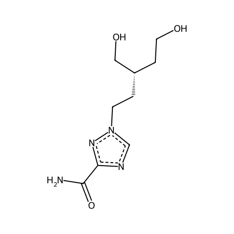 NC(=O)c1ncn(CC[C@H](CO)CCO)n1